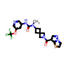 CN(C(=O)Nc1cncc(OC(F)(F)F)c1)C1CC2(C1)CN(C(=O)c1cnn3ccsc13)C2